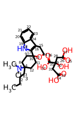 CCCCC1(N(C)C)CCC2(CC1)OCCc1c2[nH]c2ccccc12.O=C(O)CC(O)(CC(=O)O)C(=O)O